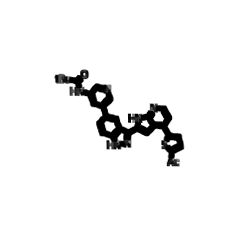 CC(=O)c1ccc(-c2ccnc3[nH]c(-c4n[nH]c5ccc(-c6cncc(NC(=O)C(C)(C)C)c6)cc45)cc23)s1